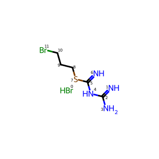 Br.N=C(N)NC(=N)SCCCBr